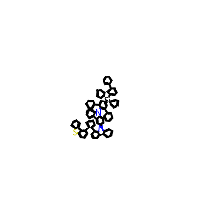 c1ccc(-c2cccc([Si](c3ccccc3)(c3ccccc3)c3cc(-c4ccccc4)c(-n4c5ccccc5c5cc(-n6c7ccccc7c7cccc(-c8ccccc8-c8cccc9sc%10ccccc%10c89)c76)ccc54)c(-c4ccccc4)c3)c2)cc1